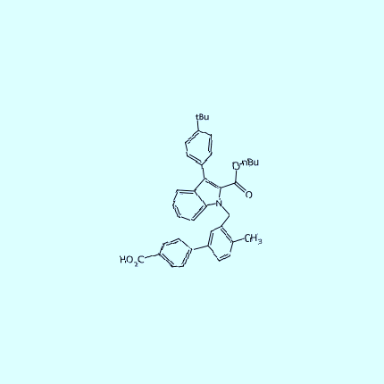 CCCCOC(=O)c1c(-c2ccc(C(C)(C)C)cc2)c2ccccc2n1Cc1cc(-c2ccc(C(=O)O)cc2)ccc1C